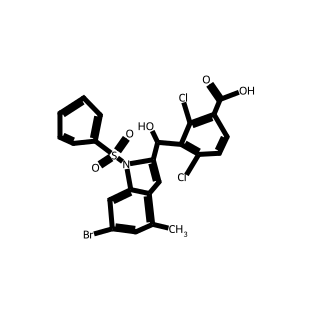 Cc1cc(Br)cc2c1cc(C(O)c1c(Cl)ccc(C(=O)O)c1Cl)n2S(=O)(=O)c1ccccc1